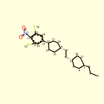 CCC[C@H]1CC[C@H](CC[C@H]2CC[C@H](c3cc(F)c([N+](=O)[O-])c(F)c3)CC2)CC1